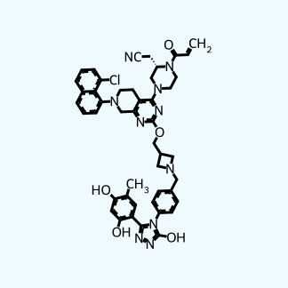 C=CC(=O)N1CCN(c2nc(OCC3CN(Cc4ccc(-n5c(O)nnc5-c5cc(C)c(O)cc5O)cc4)C3)nc3c2CCN(c2cccc4cccc(Cl)c24)C3)C[C@@H]1CC#N